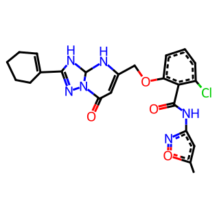 Cc1cc(NC(=O)c2c(Cl)cccc2OCC2=CC(=O)N3N=C(C4=CCCCC4)NC3N2)no1